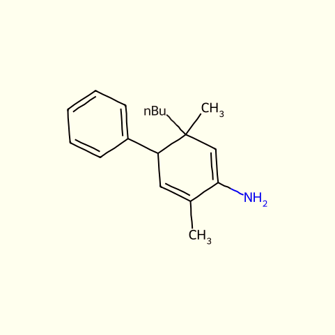 CCCCC1(C)C=C(N)C(C)=CC1c1ccccc1